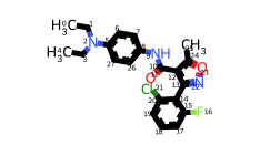 CCN(CC)c1ccc(NC(=O)c2c(-c3c(F)cccc3Cl)noc2C)cc1